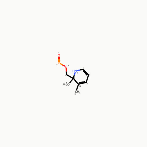 COC1(COP=O)NC=CC=C1C